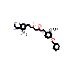 C/C=C\c1ccc(/C=C/C(=O)CC(=O)/C=C/c2ccc(OCc3ccccc3)cc2OC)cc1C